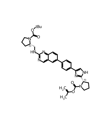 C=C(C)OC(=O)N1CCC[C@H]1c1nc(-c2ccc(-c3ccc4nc(NC[C@@H]5CCCN5C(=O)OC(C)(C)C)ncc4c3)cc2)c[nH]1